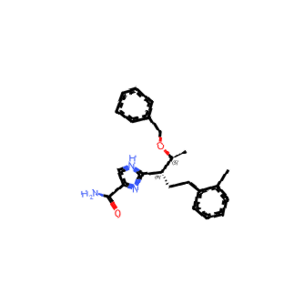 Cc1ccccc1CC[C@H](c1nc(C(N)=O)c[nH]1)[C@H](C)OCc1ccccc1